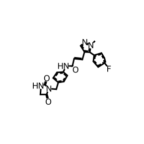 Cn1ncc(C=CC(=O)Nc2ccc(CN3C(=O)CNC3=O)cc2)c1-c1ccc(F)cc1